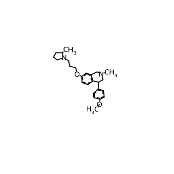 COc1ccc(C2CN(C)Cc3cc(OCCCN4CCCC4C)ccc32)cc1